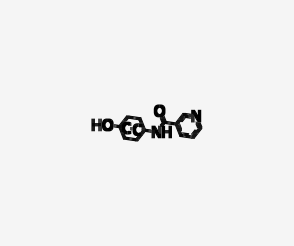 O=C(NC12CCC(O)(CC1)CC2)c1cccnc1